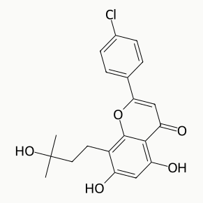 CC(C)(O)CCc1c(O)cc(O)c2c(=O)cc(-c3ccc(Cl)cc3)oc12